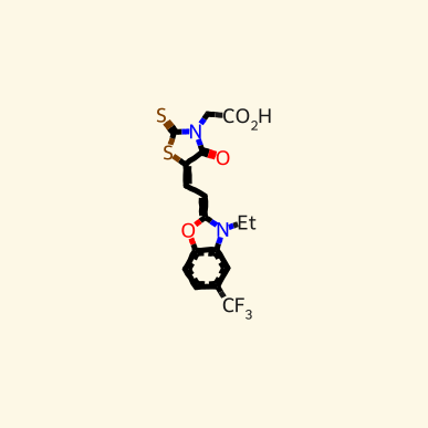 CCN1/C(=C/C=C2/SC(=S)N(CC(=O)O)C2=O)Oc2ccc(C(F)(F)F)cc21